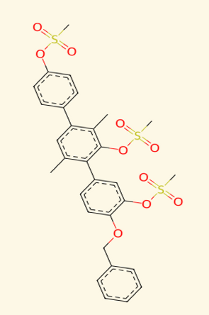 Cc1cc(-c2ccc(OS(C)(=O)=O)cc2)c(C)c(OS(C)(=O)=O)c1-c1ccc(OCc2ccccc2)c(OS(C)(=O)=O)c1